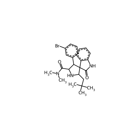 CN(C)C(=O)C1NC(CC(C)(C)C)C2(C(=O)Nc3ccccc32)C1c1cccc(Br)c1